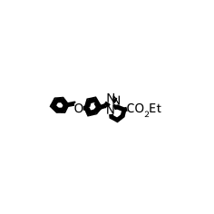 CCOC(=O)C1CCCn2c(-c3ccc(OCc4ccccc4)cc3)nnc21